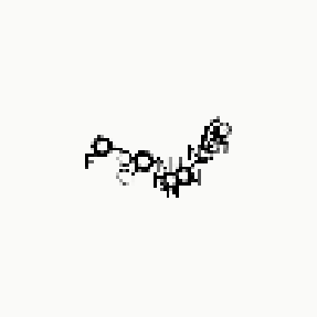 CCN(Cc1nc(-c2cc3c(Nc4ccc(OCc5cccc(F)c5)c(Cl)c4)ncnc3cn2)cs1)S(=O)(=O)CC